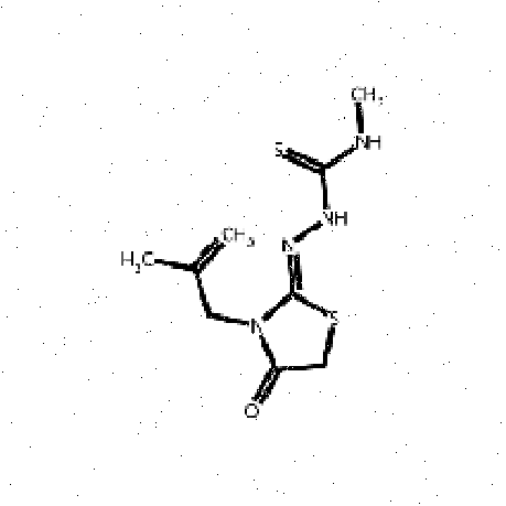 C=C(C)CN1C(=O)CSC1=NNC(=S)NC